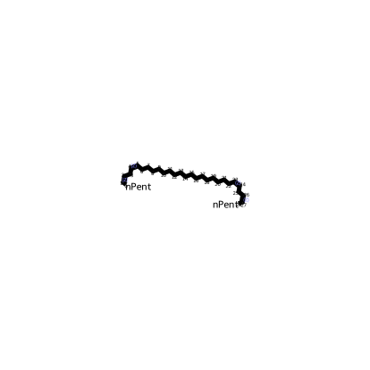 CCCCC/C=C\C/C=C\CCCCCCCC[CH]CCCCCCCC/C=C\C/C=C\CCCCC